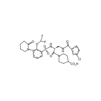 O=C(NC[C@H](NS(=O)(=O)c1cccc(N2CCCCC2=O)c1OC(F)F)C(=O)N1CCC(C(=O)O)CC1)c1ccc(Cl)s1